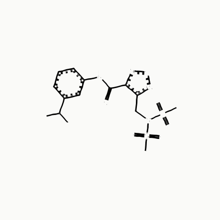 CS(=O)(=O)N(Cc1nonc1C(=N)Nc1cccc(C(F)F)c1)S(C)(=O)=O